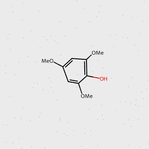 COc1cc(OC)c(O)c(OC)c1